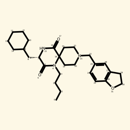 CCCCN1C(=O)[C@H](CC2CCCCC2)NC(=O)C12CCN(Cc1ccc3c(c1)CCO3)CC2